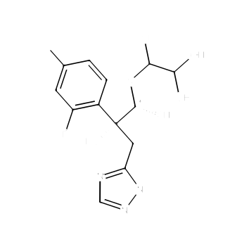 CC(S[C@H](C)[C@@](O)(Cc1ncn[nH]1)c1ccc(F)cc1F)C(O)O